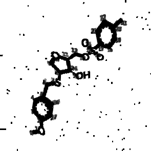 COc1ccc(CS[C@H]2CO[C@@H](COS(=O)(=O)c3ccc(C)cc3)[C@@H]2O)cc1